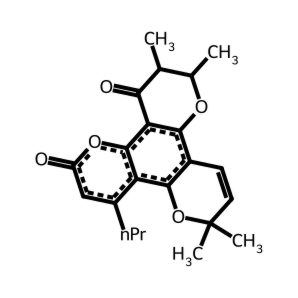 CCCc1cc(=O)oc2c3c(c4c(c12)OC(C)(C)C=C4)OC(C)C(C)C3=O